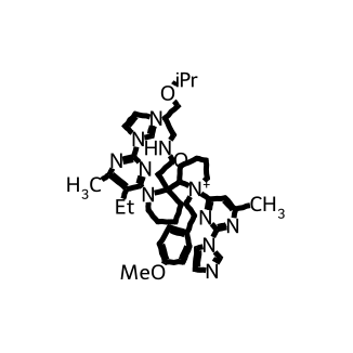 CCc1c(C)nc(-n2ccnc2)nc1N1CCCCC1(CC(=O)NCCCOC(C)C)C1CCCC[N+]1(CCc1ccc(OC)cc1)c1cc(C)nc(-n2ccnc2)n1